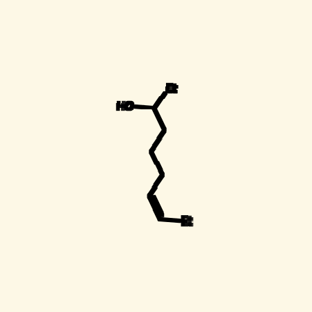 CC/C=C\CCCC(O)CC